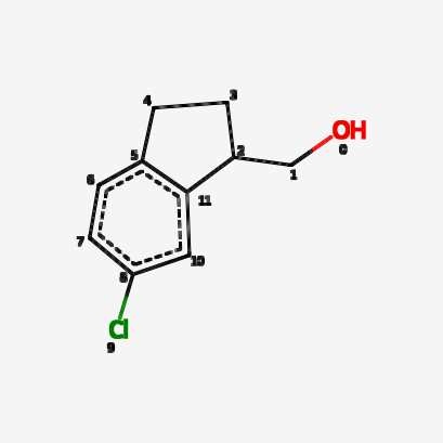 OCC1CCc2ccc(Cl)cc21